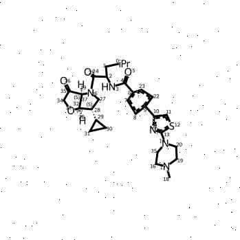 CC(C)CC(NC(=O)c1ccc(-c2csc(N3CCN(C)CC3)n2)cc1)C(=O)N1C[C@H](C2CC2)[C@H]2OCC(=O)[C@H]21